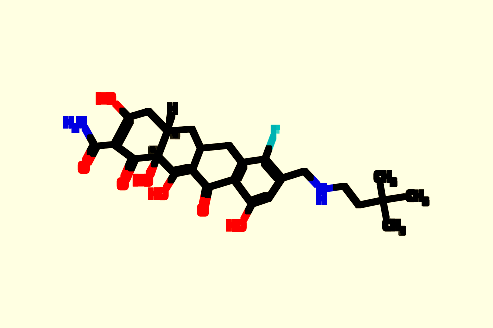 CC(C)(C)CCNCc1cc(O)c2c(c1F)CC1C[C@H]3CC(O)=C(C(N)=O)C(=O)[C@@]3(O)C(O)=C1C2=O